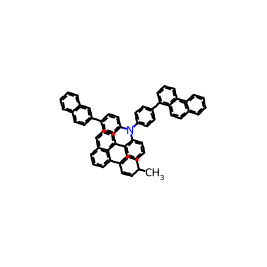 CC1C=CC(c2cccc3cccc(-c4ccccc4N(c4ccc(-c5ccc6ccccc6c5)cc4)c4ccc(-c5cccc6c5ccc5ccccc56)cc4)c23)=CC1